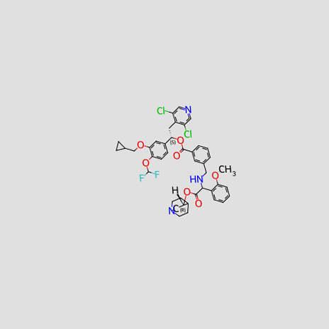 COc1ccccc1C(NCc1cccc(C(=O)O[C@@H](Cc2c(Cl)cncc2Cl)c2ccc(OC(F)F)c(OCC3CC3)c2)c1)C(=O)O[C@H]1CN2CCC1CC2